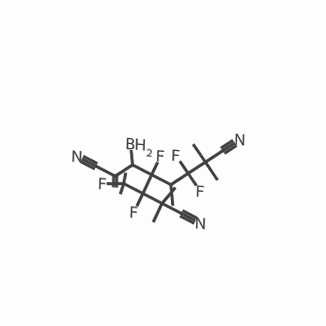 BC(C(=C)C#N)C(F)(C(C)C(F)(F)C(C)(C)C#N)C(F)(C(C)(C)F)C(C)(C)C#N